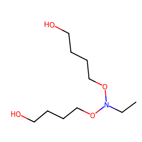 CCN(OCCCCO)OCCCCO